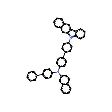 c1ccc(-c2ccc(N(c3ccc(-c4ccc(-n5c6ccccc6c6cc7ccccc7cc65)cc4)cc3)c3ccc4ccccc4c3)cc2)cc1